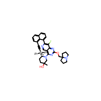 CC(C)[Si](C#Cc1cccc2cccc(-c3ncc4c(N5CCCC(C)(O)C5)nc(OCC56CCCN5CCC6)nc4c3F)c12)(C(C)C)C(C)C